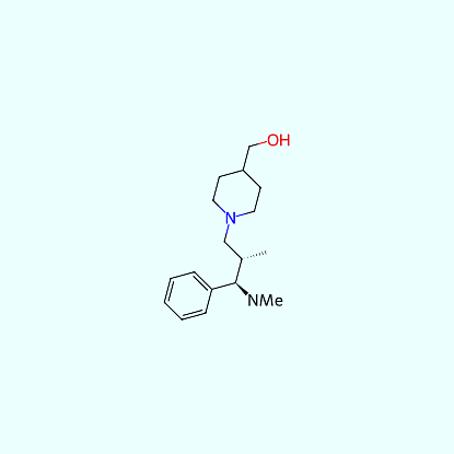 [CH2-][NH2+][C@@H](c1ccccc1)[C@@H](C)CN1CCC(CO)CC1